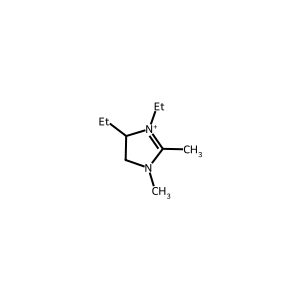 CCC1CN(C)C(C)=[N+]1CC